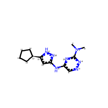 CN(C)c1nncc(Nc2cc([C@H]3C[CH]CC3)[nH]n2)n1